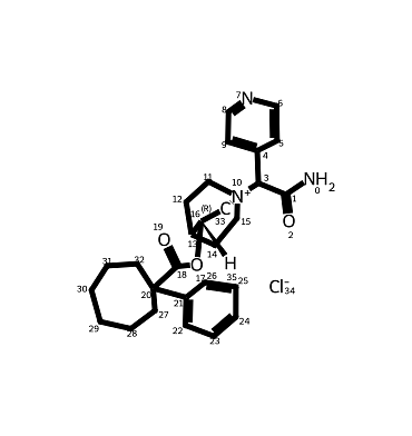 NC(=O)C(c1ccncc1)[N+]12CCC(CC1)[C@@H](OC(=O)C1(c3ccccc3)CCCCCC1)C2.[Cl-]